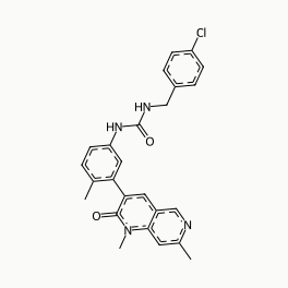 Cc1cc2c(cn1)cc(-c1cc(NC(=O)NCc3ccc(Cl)cc3)ccc1C)c(=O)n2C